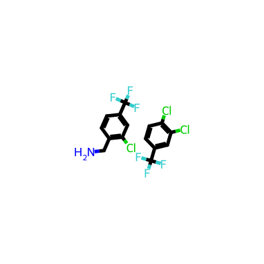 FC(F)(F)c1ccc(Cl)c(Cl)c1.NCc1ccc(C(F)(F)F)cc1Cl